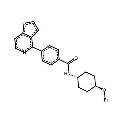 CCO[C@H]1CC[C@H](NC(=O)c2ccc(-c3nccc4occc34)cc2)CC1